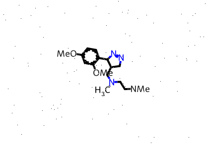 CNCCN(C)CC1CN=NC1c1ccc(OC)cc1OC